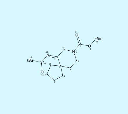 CC(C)(C)OC(=O)N1CCC2(CCCC2)/C(=N\[S@+]([O-])C(C)(C)C)C1